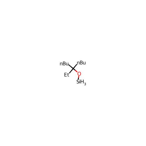 CCCCC(CC)(CCCC)O[SiH3]